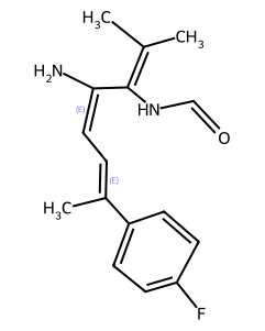 CC(C)=C(NC=O)/C(N)=C\C=C(/C)c1ccc(F)cc1